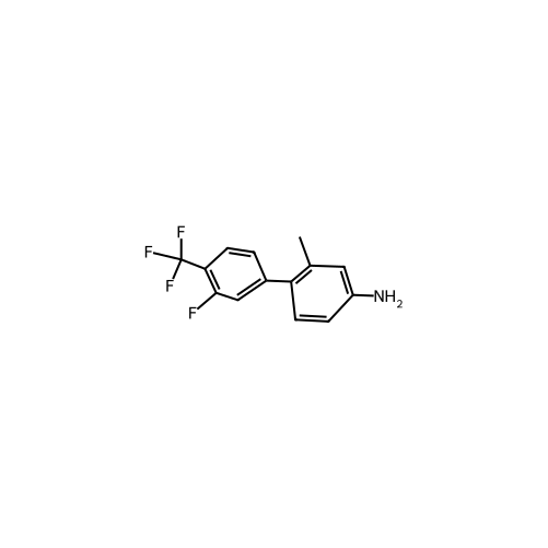 Cc1cc(N)ccc1-c1ccc(C(F)(F)F)c(F)c1